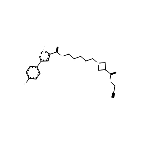 N#CCNC(=O)C1CN(CCCCCNC(=O)c2cc(-c3ccc(F)cc3)on2)C1